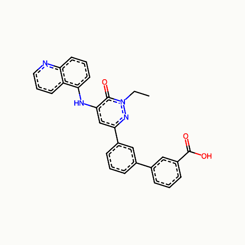 CCn1nc(-c2cccc(-c3cccc(C(=O)O)c3)c2)cc(Nc2cccc3ncccc23)c1=O